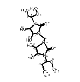 CCC(OC)N1C(=O)N(CN2C(=O)N(C(CC)OC)C(O)C2O)C(O)C1O